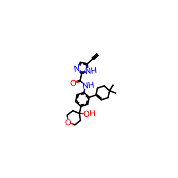 C#Cc1cnc(C(=O)Nc2ccc(C3(O)CCOCC3)cc2C2=CCC(C)(C)CC2)[nH]1